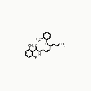 C=C/C=C(\C=C/CNC(=O)c1c(C)cccc1F)Oc1ccccc1C(F)(F)F